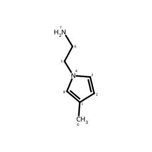 Cc1ccn(CCN)c1